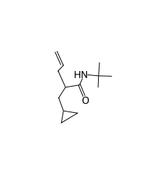 C=CCC(CC1CC1)C(=O)NC(C)(C)C